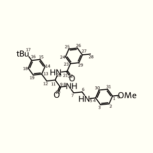 COc1ccc(NCCNC(=O)C(Cc2ccc(C(C)(C)C)cc2)NC(=O)c2cccc(C)c2)cc1